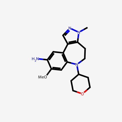 COc1cc2c(cc1N)-c1cnn(C)c1CCN2C1CCOCC1